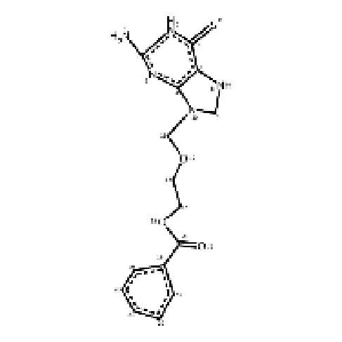 Nc1nc2c(c(=S)[nH]1)NCN2COCCOC(=O)c1ccccc1